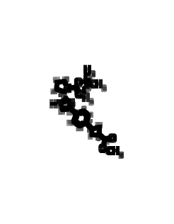 COC(=O)C1CC(c2ccc(-c3c[nH]c([C@@H]4CCCN4C(=O)OC(C)(C)C)n3)cc2)C1